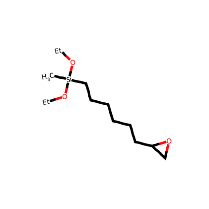 CCO[Si](C)(CCCCCCC1CO1)OCC